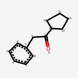 O=C(Cc1ccccc1)C1CCCC1